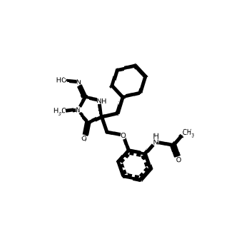 CC(=O)Nc1ccccc1OCC1(CC2CCCCC2)N/C(=N/O)N(C)C1=O